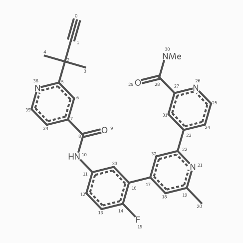 C#CC(C)(C)c1cc(C(=O)Nc2ccc(F)c(-c3cc(C)nc(-c4ccnc(C(=O)NC)c4)c3)c2)ccn1